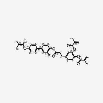 C=C(C)C(=O)Oc1ccc(CCC(=O)Oc2ccc(-c3ccc(OC(=O)C(C)C)cc3)cc2F)cc1OC(=O)C(=C)C